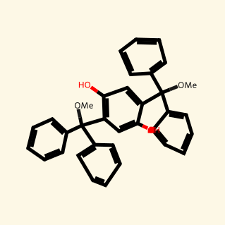 COC(c1ccccc1)(c1ccccc1)c1cc(O)c(C(OC)(c2ccccc2)c2ccccc2)cc1O